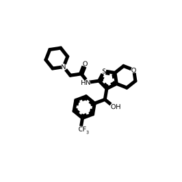 O=C(CN1CCCCC1)Nc1sc2c(c1C(O)c1cccc(C(F)(F)F)c1)CCOC2